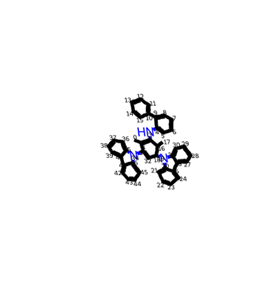 CC1=C(Nc2ccccc2-c2ccccc2)C(C)C(n2c3ccccc3c3ccccc32)C=C1n1c2ccccc2c2ccccc21